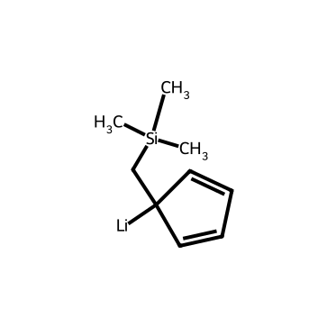 [Li][C]1(C[Si](C)(C)C)C=CC=C1